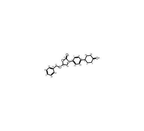 O=C1CCC(c2ccc(N3CC(OCc4ccccc4)OC3=O)cc2)CC1